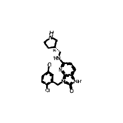 O=c1[nH]c2ccc(NC[C@@H]3CCNC3)nc2n1Cc1cc(Cl)ccc1Cl